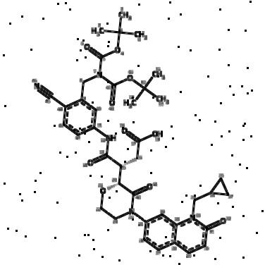 CC(C)(C)OC(=O)N(Cc1cc(NC(=O)[C@H](CC(=O)O)[C@H]2OCCN(c3ccc4ccc(=O)n(CC5CC5)c4c3)C2=O)ccc1C#N)C(=O)OC(C)(C)C